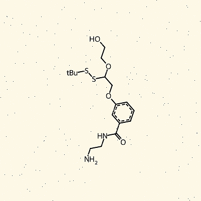 CC(C)(C)SSC(COc1cccc(C(=O)NCCN)c1)OCCO